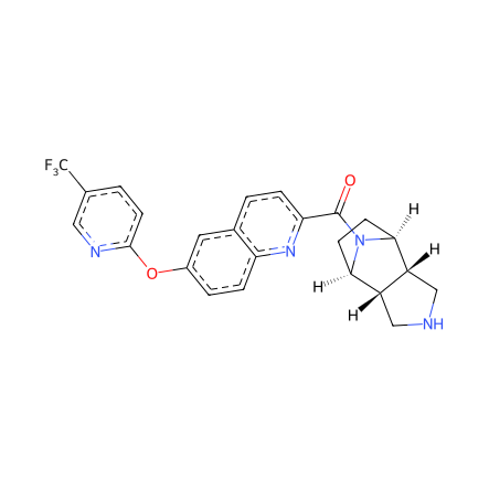 O=C(c1ccc2cc(Oc3ccc(C(F)(F)F)cn3)ccc2n1)N1[C@@H]2CC[C@H]1[C@@H]1CNC[C@@H]12